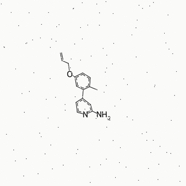 C=CCOc1ccc(C)c(-c2ccnc(N)c2)c1